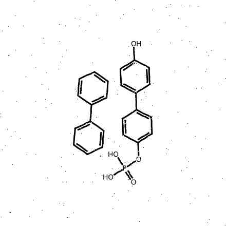 O=P(O)(O)Oc1ccc(-c2ccc(O)cc2)cc1.c1ccc(-c2ccccc2)cc1